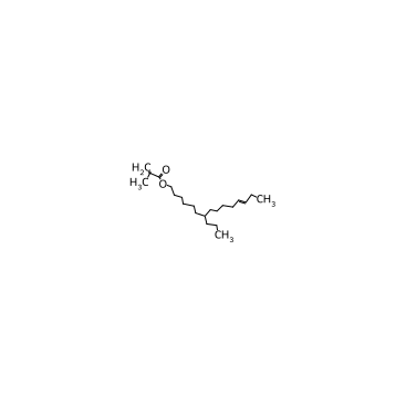 C=C(C)C(=O)OCCCCCCC(CCC)CCCCC=CCC